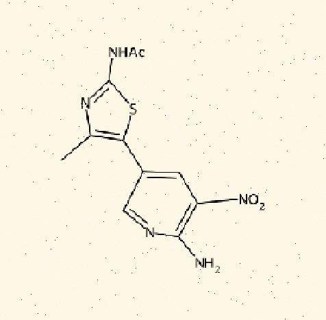 CC(=O)Nc1nc(C)c(-c2cnc(N)c([N+](=O)[O-])c2)s1